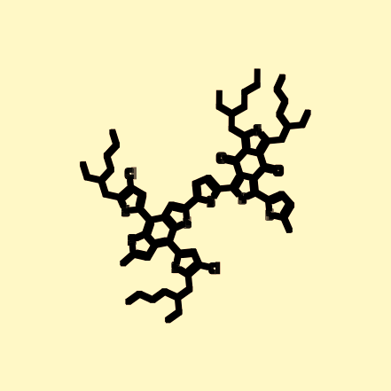 CCCCC(CC)Cc1sc(-c2c3cc(-c4ccc(-c5sc(-c6ccc(C)s6)c6c5C(=O)c5c(CC(CC)CCCC)sc(CC(CC)CCCC)c5C6=O)s4)sc3c(-c3cc(Cl)c(CC(CC)CCCC)s3)c3cc(C)sc23)cc1Cl